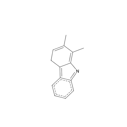 CC1=CCC2=c3ccccc3=NC2=C1C